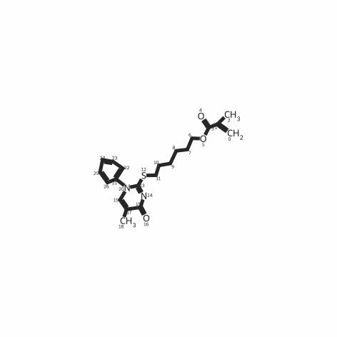 C=C(C)C(=O)OCCCCCCSc1nc(=O)c(C)cn1-c1ccccc1